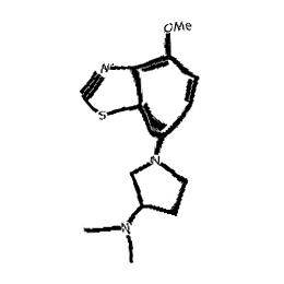 COc1ccc(N2CCC(N(C)C)C2)c2sc#[n+]c12